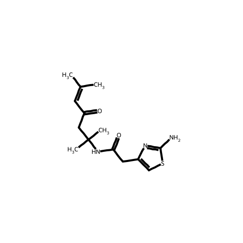 CC(C)=CC(=O)CC(C)(C)NC(=O)Cc1csc(N)n1